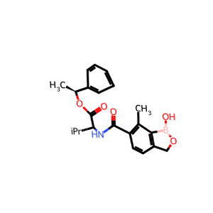 Cc1c(C(=O)NC(C(=O)O[C@@H](C)c2ccccc2)C(C)C)ccc2c1B(O)OC2